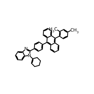 Cc1ccc(-c2c3ccccc3c(-c3ccc(-c4nc5ccccc5n4C4=CCCCC4)cc3)c3ccccc23)c(C)c1